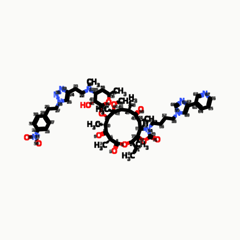 CC[C@H]1OC(=O)[C@H](C)C(=O)[C@H](C)[C@@H](O[C@@H]2O[C@H](C)C[C@H](N(C)CCc3cn(CCc4ccc([N+](=O)[O-])cc4)nn3)[C@H]2O)[C@](C)(OC)C[C@@H](C)C(=O)[C@H](C)[C@H]2N(CCCCn3cnc(-c4cccnc4)c3)C(=O)O[C@]12C